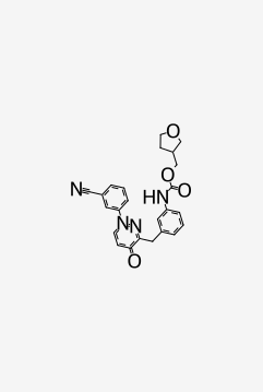 N#Cc1cccc(-n2ccc(=O)c(Cc3cccc(NC(=O)OCC4CCOC4)c3)n2)c1